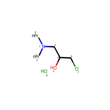 CCCN(CCC)CC(O)CCl.Cl